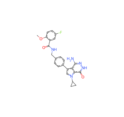 COc1ccc(F)cc1C(=O)NCc1ccc(-c2cn(C3CC3)c3c(=O)[nH]nc(N)c23)cc1